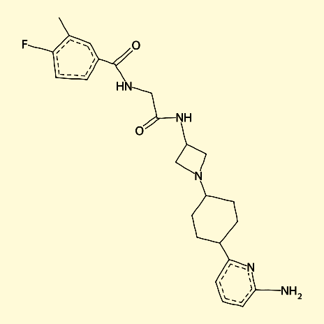 Cc1cc(C(=O)NCC(=O)NC2CN(C3CCC(c4cccc(N)n4)CC3)C2)ccc1F